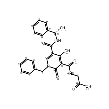 C[C@H](NC(=O)c1cn(Cc2ccccc2)c(=O)c(C(=O)NCC(=O)O)c1O)c1ccccc1